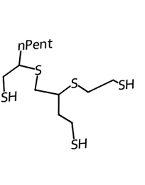 CCCCCC(CS)SCC(CCS)SCCS